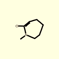 CN1CCCCC=C1Cl